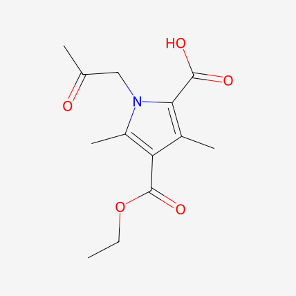 CCOC(=O)c1c(C)c(C(=O)O)n(CC(C)=O)c1C